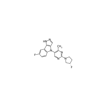 Cc1nc(N2CC[C@H](F)C2)ncc1-n1c2ccc(F)cc2c2[nH]ncc21